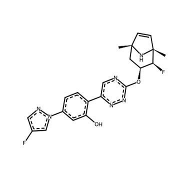 C[C@@]12C=C[C@@](C)(N1)[C@@H](F)[C@@H](Oc1ncc(-c3ccc(-n4cc(F)cn4)cc3O)nn1)C2